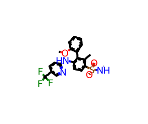 CNS(=O)(=O)c1ccc(Nc2ccc(C(F)(F)F)cn2)c(-c2ccccc2OC)c1C